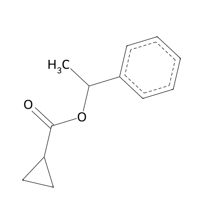 CC(OC(=O)C1CC1)c1ccccc1